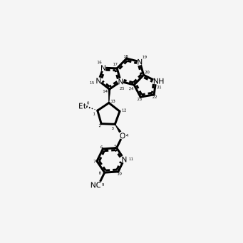 CC[C@H]1C[C@H](Oc2ccc(C#N)cn2)C[C@@H]1c1nnc2cnc3[nH]ccc3n12